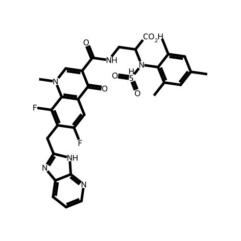 Cc1cc(C)c(N(C(CNC(=O)c2cn(C)c3c(F)c(Cc4nc5cccnc5[nH]4)c(F)cc3c2=O)C(=O)O)[SH](=O)=O)c(C)c1